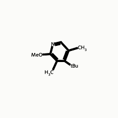 COc1ncc(C)c(C(C)(C)C)c1C